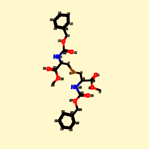 COC(=O)C(CSCC(NC(=O)OCc1ccccc1)C(=O)OC)NC(=O)OCc1ccccc1